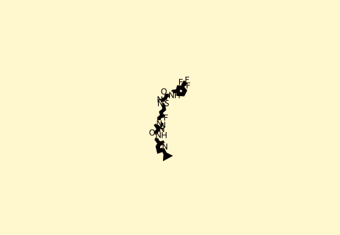 O=C(NCc1ccc(C2CC2)nc1)c1cn(CC(F)CCc2nnc(C(=O)NCc3cccc(C(F)(F)F)c3)s2)nn1